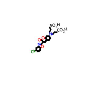 O=C(O)CCCN(CCCS(=O)(=O)O)c1ccc2cc(-c3nc4cc(Cl)ccc4o3)c(=O)oc2c1